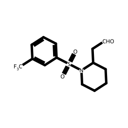 O=CCC1CCCCN1S(=O)(=O)c1cccc(C(F)(F)F)c1